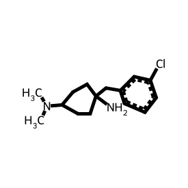 CN(C)C1CCC(N)(Cc2cccc(Cl)c2)CC1